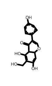 O=C1C(c2ccc(O)cc2)=COC2C=C(O)C(CO)=C(O)C12